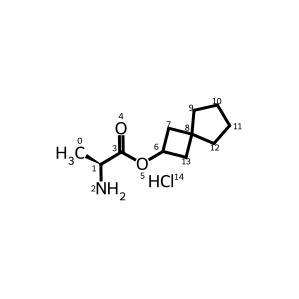 C[C@H](N)C(=O)OC1CC2(CCCC2)C1.Cl